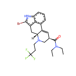 CCN(CC)C(=O)[C@@H]1C=C2c3cccc4[nH]c(Br)c(c34)C[C@H]2N(CCC(F)(F)F)C1